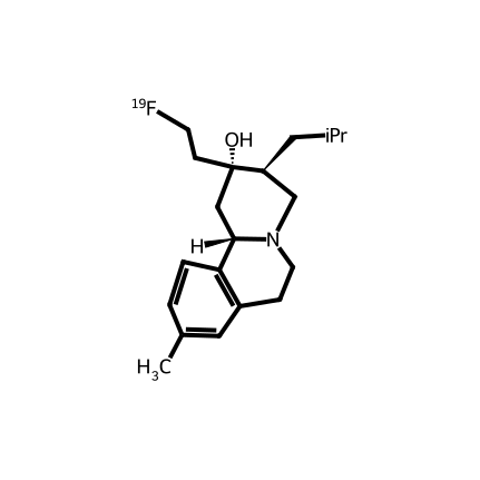 Cc1ccc2c(c1)CCN1C[C@H](CC(C)C)[C@](O)(CC[19F])C[C@@H]21